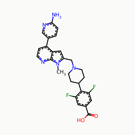 Cn1c(CN2CCC(c3c(F)cc(C(=O)O)cc3F)CC2)cc2c(-c3ccc(N)nc3)ccnc21